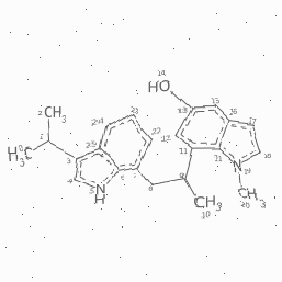 CC(C)c1c[nH]c2c(CC(C)c3cc(O)cc4ccn(C)c34)cccc12